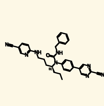 CCC[C@@H](CCCNc1ccc(C#N)cn1)N(C(=O)NCc1ccccc1)c1ccc(-c2cnc(C#N)nc2)cc1